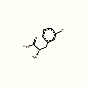 CNC(=O)[C@H](C)Cc1cccc(Cl)c1